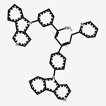 N/C(=C\C(=C/Cc1ccccn1)c1ccc(-n2c3ccccc3c3cnccc32)cc1)c1cccc(-n2c3ccccc3c3cnccc32)c1